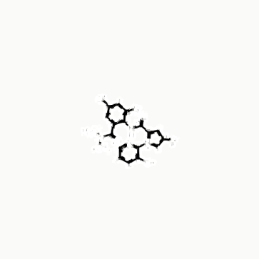 CN(C)C(=O)c1cc(Cl)cc(Br)c1NC(=O)c1cc(Br)cn1-c1ncccc1Cl